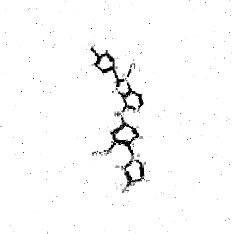 COc1cc(Nc2nccc3c2nc(-c2ccc(F)cc2)n3C)ccc1-n1cnc(C)n1